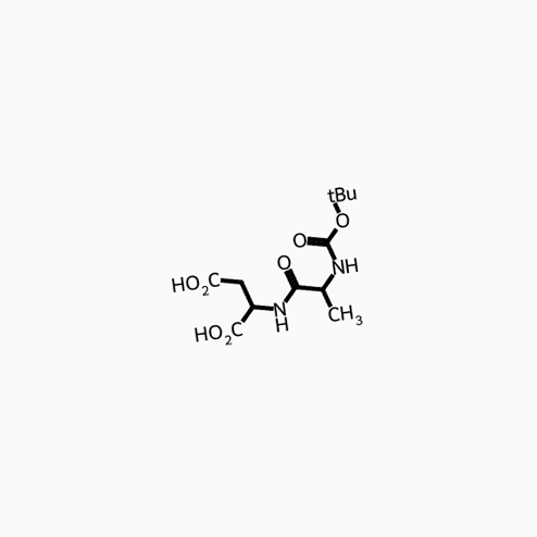 CC(NC(=O)OC(C)(C)C)C(=O)NC(CC(=O)O)C(=O)O